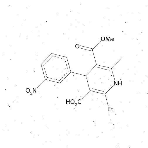 CCC1=C(C(=O)O)C(c2cccc([N+](=O)[O-])c2)C(C(=O)OC)=C(C)N1